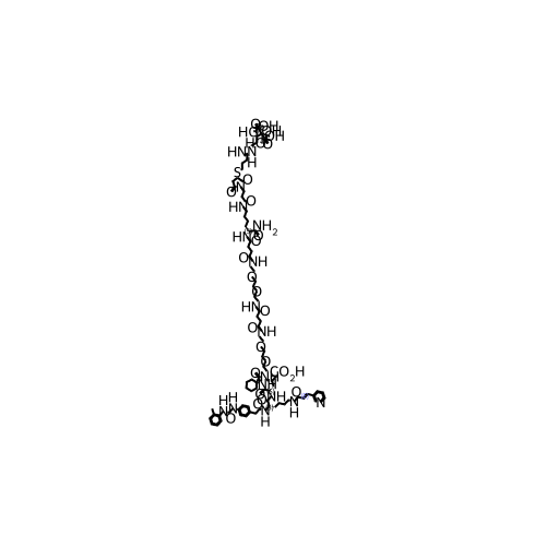 Cc1ccccc1NC(=O)Nc1ccc(CC(=O)N[C@@H](CCCCNC(=O)/C=C/c2cccnc2)C(=O)N[C@@H](CCCC(=O)O)C(=O)NC2(C(=O)NCCOCCOCCNC(=O)CCC(=O)NCCOCCOCCNC(=O)CCC(=O)N[C@@H](CCCCNC(=O)CCN3C(=O)CC(SCCCC(=N)NCCCC(O)(P(=O)(O)O)P(=O)(O)O)C3=O)C(N)=O)CCCCC2)cc1